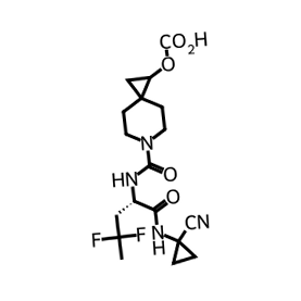 CC(F)(F)C[C@H](NC(=O)N1CCC2(CC1)CC2OC(=O)O)C(=O)NC1(C#N)CC1